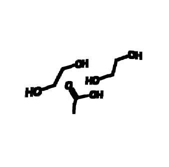 CC(=O)O.OCCO.OCCO